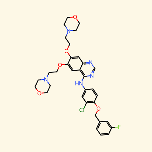 Fc1cccc(COc2ccc(Nc3ncnc4cc(OCCN5CCOCC5)c(OCCN5CCOCC5)cc34)cc2Cl)c1